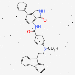 O=C(Nc1ccc(-c2ccccc2)c2c1C(=O)NC2)c1ccc(N(CCC2c3ccccc3-c3ccccc32)C(=O)O)cc1